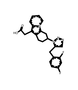 O=C(O)Cc1c2c(n3ccccc13)CC(n1nncc1Cc1ccc(F)cc1F)CC2